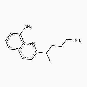 CC(CCCN)c1ccc2cccc(N)c2n1